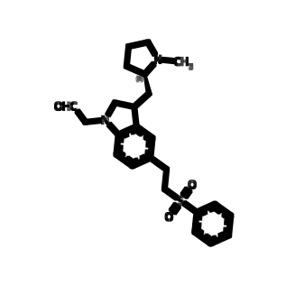 CN1CCC[C@@H]1CC1CN(CC=O)c2ccc(CCS(=O)(=O)c3ccccc3)cc21